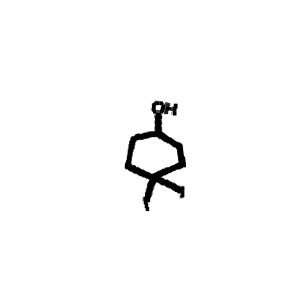 OC1CCC(I)(I)CC1